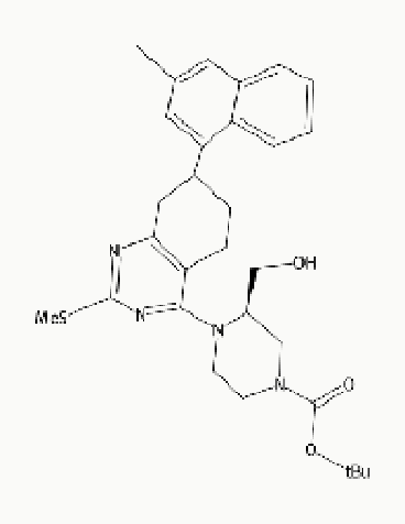 CSc1nc2c(c(N3CCN(C(=O)OC(C)(C)C)C[C@@H]3CO)n1)CCC(c1cc(C)cc3ccccc13)C2